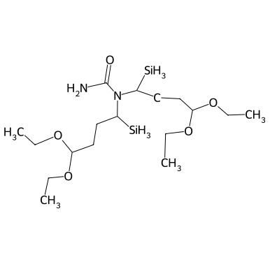 CCOC(CCC([SiH3])N(C(N)=O)C([SiH3])CCC(OCC)OCC)OCC